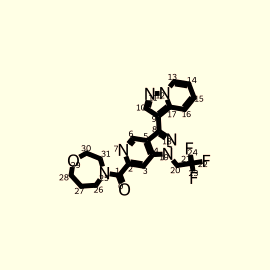 O=C(c1cc2c(cn1)c(-c1cnn3ccccc13)nn2CC(F)(F)F)N1CCCOCC1